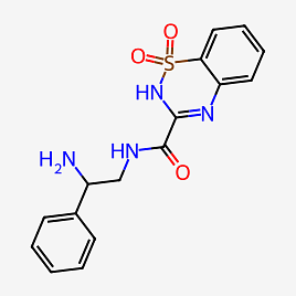 NC(CNC(=O)C1=Nc2ccccc2S(=O)(=O)N1)c1ccccc1